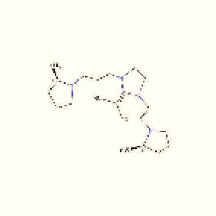 C[C@@H]1CCCN1CCCN1CCN(CCN2CCC[C@H]2C)C1=C(C#N)C#N